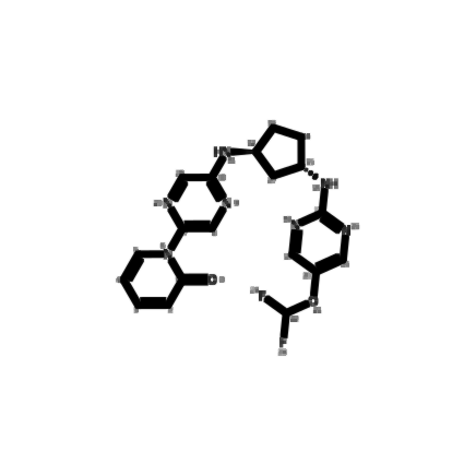 O=c1ccccn1-c1cnc(N[C@H]2CC[C@H](Nc3ncc(OC(F)F)cn3)C2)cn1